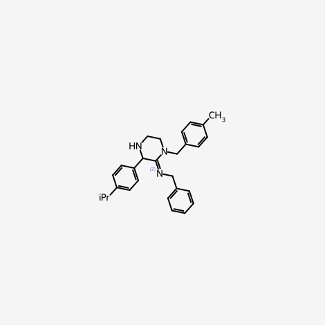 Cc1ccc(CN2CCNC(c3ccc(C(C)C)cc3)/C2=N/Cc2ccccc2)cc1